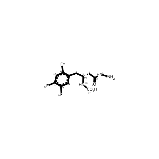 NNC(=O)C[C@@H](Cc1cc(F)c(F)cc1F)NC(=O)O